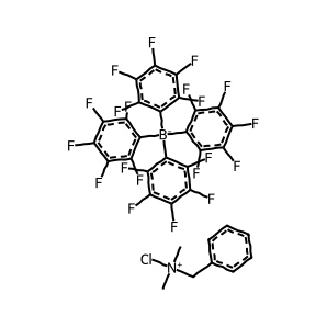 C[N+](C)(Cl)Cc1ccccc1.Fc1c(F)c(F)c([B-](c2c(F)c(F)c(F)c(F)c2F)(c2c(F)c(F)c(F)c(F)c2F)c2c(F)c(F)c(F)c(F)c2F)c(F)c1F